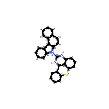 c1ccc2c(c1)Sc1cccc3nc(-n4c5ccccc5c5c6ccccc6ccc54)nc-2c13